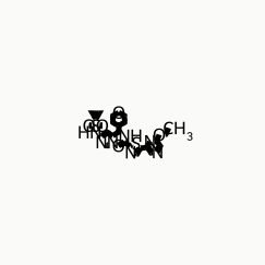 CCOc1cncc(-c2cnc(C(=O)N[C@@H](c3cc(NS(=O)(=O)C4CC4)ncn3)C3CCOCC3)s2)n1